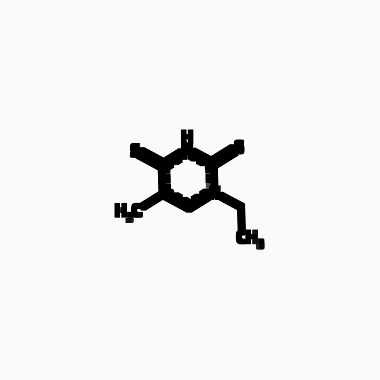 CCn1cc(C)c(=S)[nH]c1=S